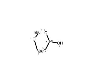 CCCCOCCCC.[O-][I+2]([O-])O